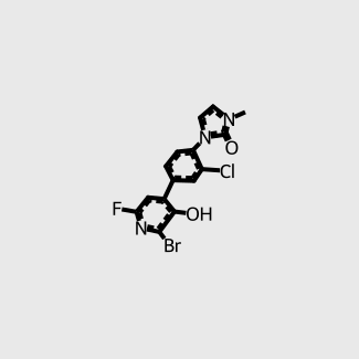 Cn1ccn(-c2ccc(-c3cc(F)nc(Br)c3O)cc2Cl)c1=O